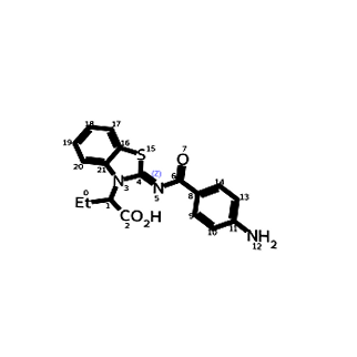 CCC(C(=O)O)n1/c(=N/C(=O)c2ccc(N)cc2)sc2ccccc21